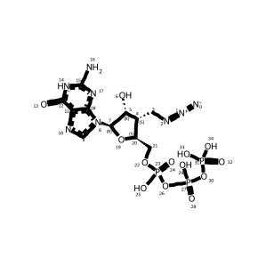 [N-]=[N+]=NC[C@H]1[C@@H](O)[C@H](n2cnc3c(=O)[nH]c(N)nc32)O[C@@H]1COP(=O)(O)OP(=O)(O)OP(=O)(O)O